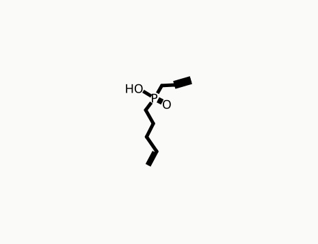 C#CCP(=O)(O)CCCC=C